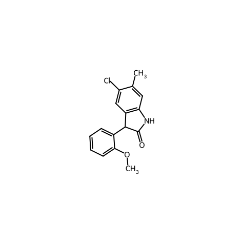 COc1ccccc1C1C(=O)Nc2cc(C)c(Cl)cc21